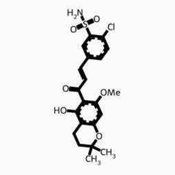 COc1cc2c(c(O)c1C(=O)C=Cc1ccc(Cl)c(S(N)(=O)=O)c1)CCC(C)(C)O2